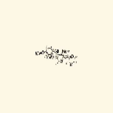 COc1ccc(Nc2nc(I)nc3c2ncn3C2CCCCO2)c(OC)c1